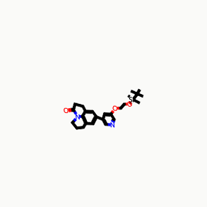 CC(C)(C)[Si](C)(C)OCCOc1cncc(-c2cc3c4c(c2)CCC(=O)N4CCC3)c1